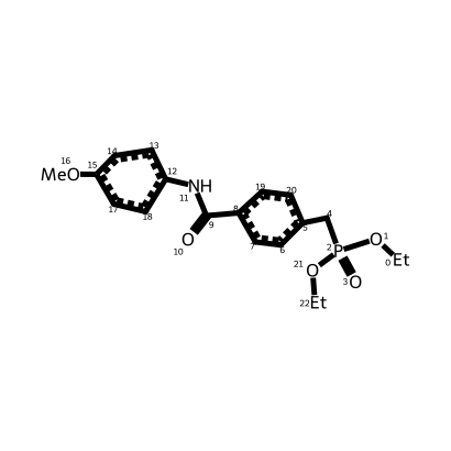 CCOP(=O)(Cc1ccc(C(=O)Nc2ccc(OC)cc2)cc1)OCC